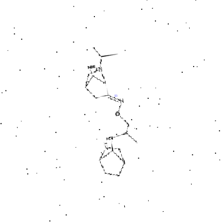 CC(CO/N=C1\CC2CN(C(C)C)C1C2N)NC1C2CCC1NC2